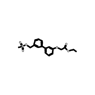 CCOC(=O)COc1cccc(-c2cccc(COS(C)(=O)=O)c2)c1